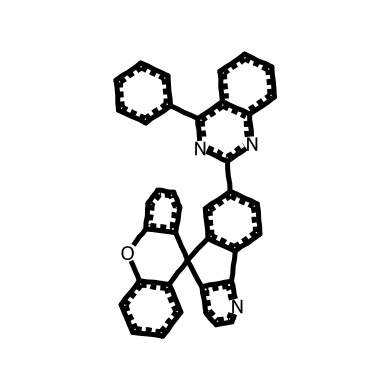 c1ccc(-c2nc(-c3ccc4c(c3)C3(c5ccccc5Oc5ccccc53)c3cccnc3-4)nc3ccccc23)cc1